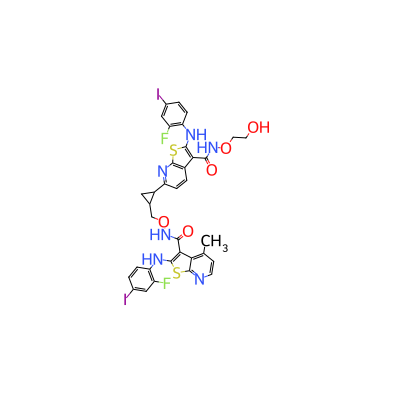 Cc1ccnc2sc(Nc3ccc(I)cc3F)c(C(=O)NOCC3CC3c3ccc4c(C(=O)NOCCO)c(Nc5ccc(I)cc5F)sc4n3)c12